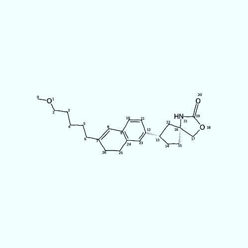 COCCCCCC1=Cc2ccc([C@H]3CC[C@]4(COC(=O)N4)C3)cc2CC1